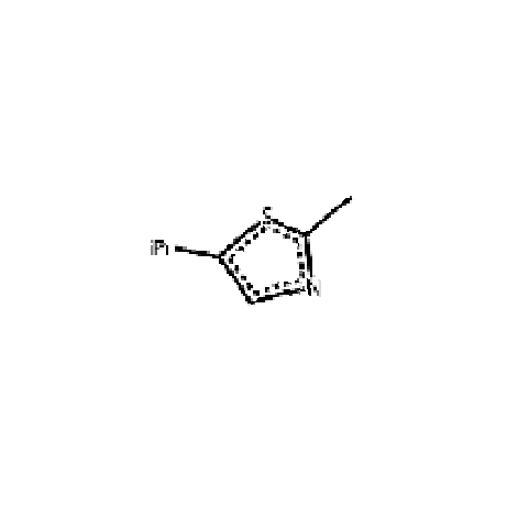 [CH2]C(C)c1cnc(C)s1